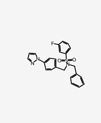 O=S(=O)(c1cccc(F)c1)N(Cc1ccccc1)Cc1ccc(-n2cccn2)cc1